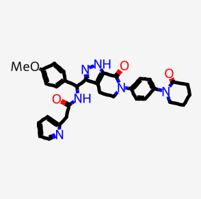 COc1ccc(C(NC(=O)Cc2ccccn2)c2n[nH]c3c2CCN(c2ccc(N4CCCCC4=O)cc2)C3=O)cc1